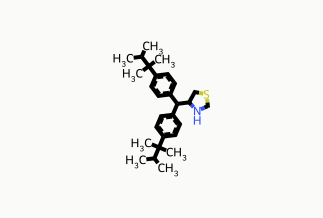 CC(C)C(C)(C)c1ccc(C(c2ccc(C(C)(C)C(C)C)cc2)C2CSCN2)cc1